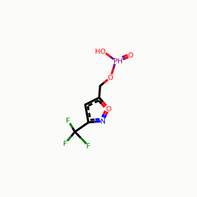 O=[PH](O)OCc1cc(C(F)(F)F)no1